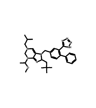 COC(C)N1CN(CC(C)C)C=C2C1=NC(CC(C)(C)C)N2Cc1ccc(-c2ccccc2)c(-c2nnn[nH]2)c1